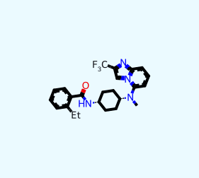 CCc1ccccc1C(=O)N[C@H]1CC[C@@H](N(C)c2cccc3nc(C(F)(F)F)cn23)CC1